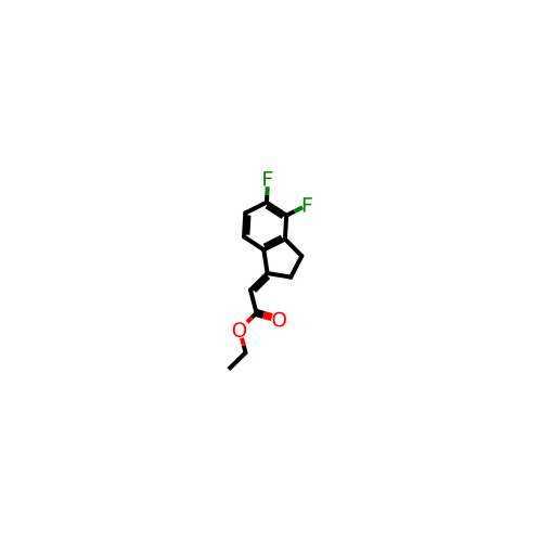 CCOC(=O)C=C1CCc2c1ccc(F)c2F